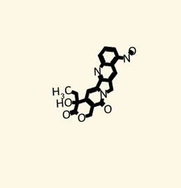 CCC1(O)C(=O)OCc2c1cc1n(c2=O)Cc2cc3c(N=O)cccc3nc2-1